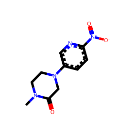 CN1CCN(c2ccc([N+](=O)[O-])nc2)CC1=O